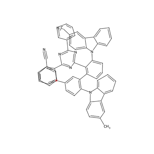 Cc1ccc2c(c1)c1ccccc1n2-c1ccc(-c2cccc(C#N)c2)cc1-c1cccc(-n2c3ccccc3c3cc(C)ccc32)c1-c1nc(-c2ccccc2)nc(-c2ccccc2)n1